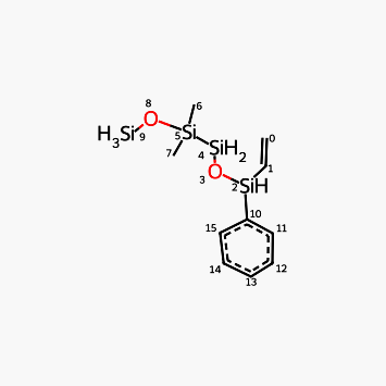 C=C[SiH](O[SiH2][Si](C)(C)O[SiH3])c1ccccc1